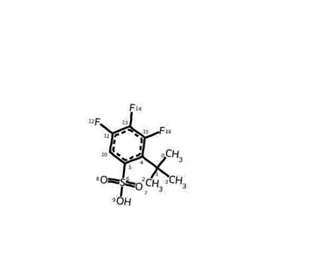 CC(C)(C)c1c(S(=O)(=O)O)cc(F)c(F)c1F